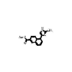 COC(=O)c1ccc2c(-c3c[nH]c(C)n3)cccc2c1